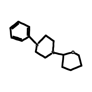 c1ccc(N2CCN(C3CCCCO3)CC2)cc1